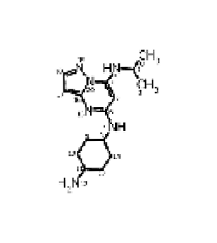 CC(C)Nc1cc(NC2CCC(N)CC2)nc2ccnn12